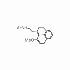 COC1=CCc2cccc3c2C1=C(CCNC(C)=O)CC3